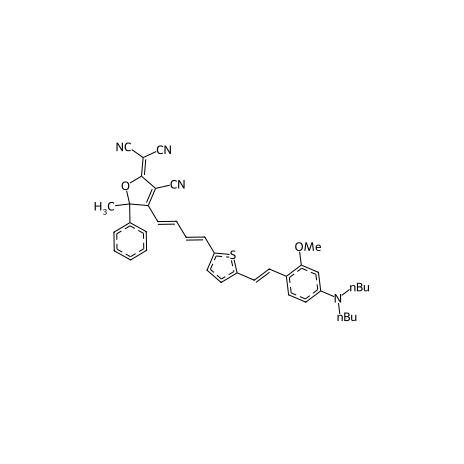 CCCCN(CCCC)c1ccc(/C=C/c2ccc(/C=C/C=C/C3=C(C#N)C(=C(C#N)C#N)OC3(C)c3ccccc3)s2)c(OC)c1